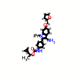 CC(C)n1c(-c2ccc(NC(=O)O[C@H](C)C3CC3)cc2)c(N)c2ccc(OC[C@H]3CCCO3)cc21